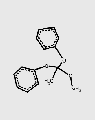 CC(O[SiH3])(Oc1ccccc1)Oc1ccccc1